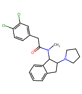 CN(C(=O)Cc1ccc(Cl)c(Cl)c1)C1c2ccccc2CC1N1CCCC1